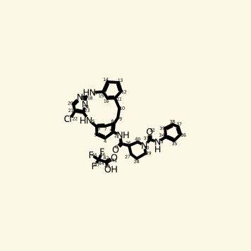 O=C(Nc1ccc2cc1CCc1cccc(c1)Nc1ncc(Cl)c(n1)N2)C1CCCN(C(=O)Nc2ccccc2)C1.O=C(O)C(F)(F)F